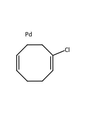 ClC1=CCCC=CCC1.[Pd]